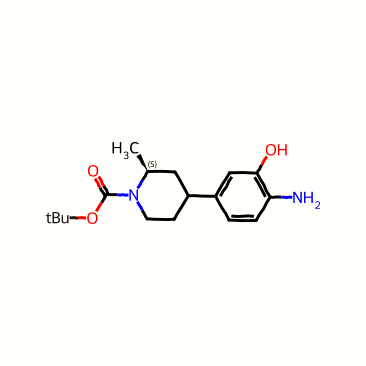 C[C@H]1CC(c2ccc(N)c(O)c2)CCN1C(=O)OC(C)(C)C